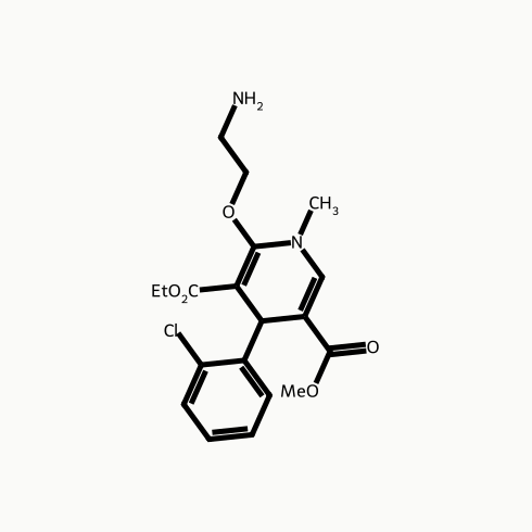 CCOC(=O)C1=C(OCCN)N(C)C=C(C(=O)OC)C1c1ccccc1Cl